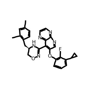 Cc1ccc(C[C@@H]2CON=C(c3c(Oc4cccc(C5CC5)c4F)cnc4nccnc34)N2)c(C)c1